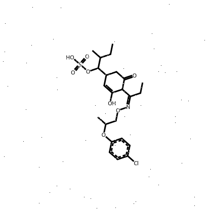 CCC(=NOCC(C)Oc1ccc(Cl)cc1)C1C(=O)CC(C(OS(=O)(=O)O)C(C)CC)C=C1O